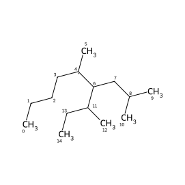 CCCC[C](C)C(CC(C)C)C(C)CC